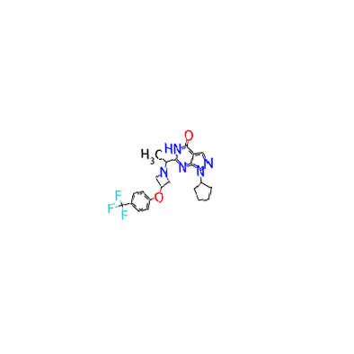 CC(c1nc2c(cnn2C2CCCC2)c(=O)[nH]1)N1CC(Oc2ccc(C(F)(F)F)cc2)C1